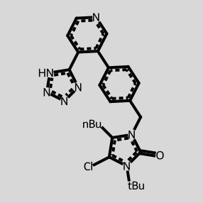 CCCCc1c(Cl)n(C(C)(C)C)c(=O)n1Cc1ccc(-c2cnccc2-c2nnn[nH]2)cc1